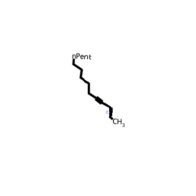 C/C=C/C#CCCCCCCCCCC